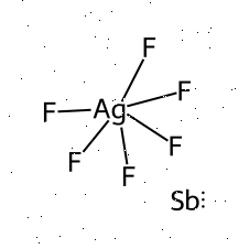 [F][Ag]([F])([F])([F])([F])[F].[Sb]